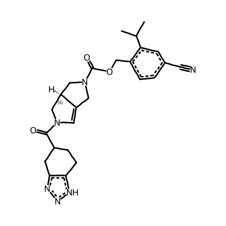 CC(C)c1cc(C#N)ccc1COC(=O)N1CC2=CN(C(=O)C3CCc4[nH]nnc4C3)C[C@H]2C1